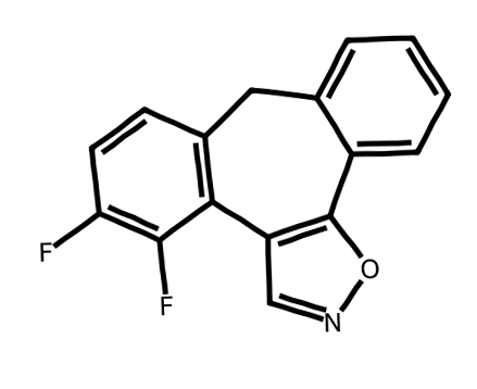 Fc1ccc2c(c1F)-c1cnoc1-c1ccccc1C2